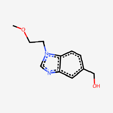 COCCn1cnc2cc(CO)ccc21